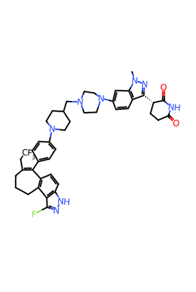 Cn1nc([C@H]2CCC(=O)NC2=O)c2ccc(N3CCN(CC4CCN(c5ccc(C6=C(CC(F)(F)F)CCCc7c6ccc6[nH]nc(F)c76)cc5)CC4)CC3)cc21